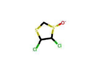 [O-][S+]1CSC(Cl)C1Cl